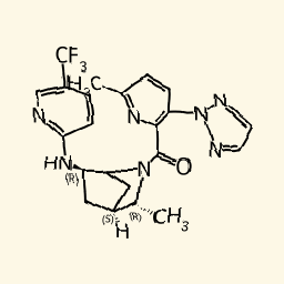 Cc1ccc(-n2nccn2)c(C(=O)N2C3C[C@H](C[C@H]3Nc3ccc(C(F)(F)F)cn3)[C@H]2C)n1